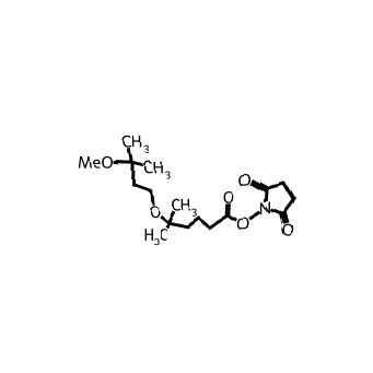 COC(C)(C)CCOC(C)(C)CCCC(=O)ON1C(=O)CCC1=O